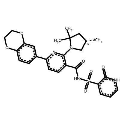 C[C@@H]1CN(c2nc(-c3ccc4c(c3)OCCO4)ccc2C(=O)NS(=O)(=O)c2ccc[nH]c2=O)C(C)(C)C1